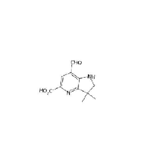 CC1(C)CNc2c(C=O)cc(C(=O)O)nc21